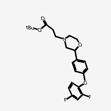 CC(C)(C)OC(=O)CCN1CCOC(c2ccc(Oc3ccc(F)cc3F)cc2)C1